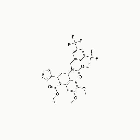 CCOC(=O)N1c2cc(OC)c(OC)cc2C(N(Cc2cc(C(F)(F)F)cc(C(F)(F)F)c2)C(=O)OC)CC1c1cccs1